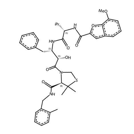 COc1cccc2cc(C(=O)N[C@H](C(=O)N[C@@H](Cc3ccccc3)[C@H](O)C(=O)N3CSC(C)(C)[C@H]3C(=O)NCc3ccccc3C)C(C)C)oc12